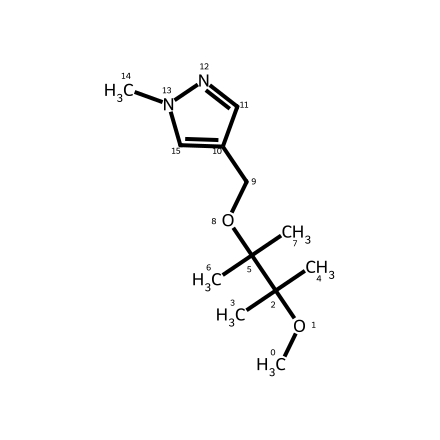 COC(C)(C)C(C)(C)OCc1cnn(C)c1